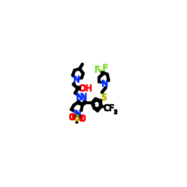 CC1CCN(C[C@H](O)Cn2nc(-c3ccc(C(F)(F)F)c(SCCN4CCC(F)(F)CC4)c3)c3c2CCN(S(C)(=O)=O)C3)CC1